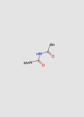 CCC(C)C(=O)NC(=O)NC